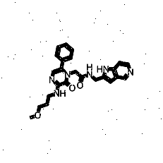 COCCCNc1ncc(-c2ccccc2)n(CC(=O)NCc2cc3cnccc3[nH]2)c1=O